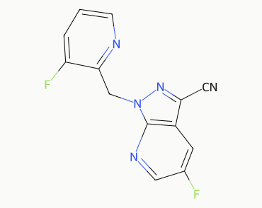 N#Cc1nn(Cc2ncccc2F)c2ncc(F)cc12